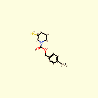 O=C(OCc1ccc([N+](=O)[O-])cc1)N1CCCC(S)C1